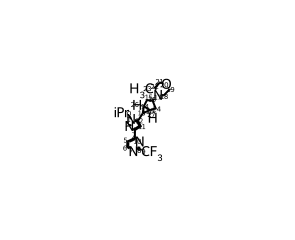 CC(C)n1nc(-c2ccnc(C(F)(F)F)n2)cc1C1[C@H]2CC(N3CCOC[C@@H]3C)C[C@@H]12